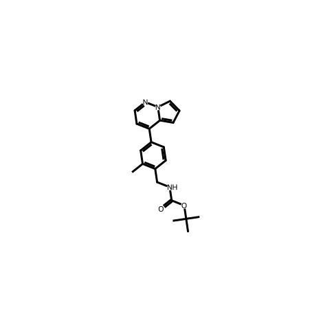 Cc1cc(-c2ccnn3cccc23)ccc1CNC(=O)OC(C)(C)C